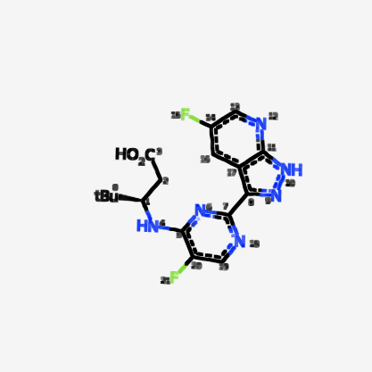 CC(C)(C)[C@@H](CC(=O)O)Nc1nc(-c2n[nH]c3ncc(F)cc23)ncc1F